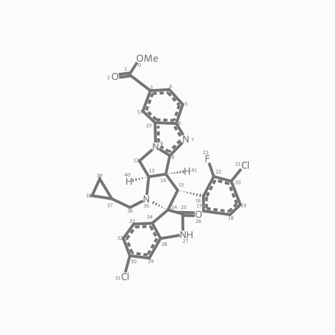 COC(=O)c1ccc2nc3n(c2c1)C[C@H]1[C@@H]3[C@H](c2cccc(Cl)c2F)[C@]2(C(=O)Nc3cc(Cl)ccc32)N1CC1CC1